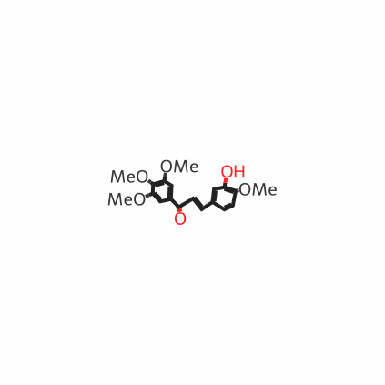 COc1ccc(C=CC(=O)c2cc(OC)c(OC)c(OC)c2)cc1O